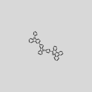 c1ccc(-n2c3ccccc3c3cc(-c4ccc5c(c4)c4ccccc4n5-c4ccc(-c5nc6c7ccccc7c7ccccc7c6c6ccccc56)cc4)ccc32)cc1